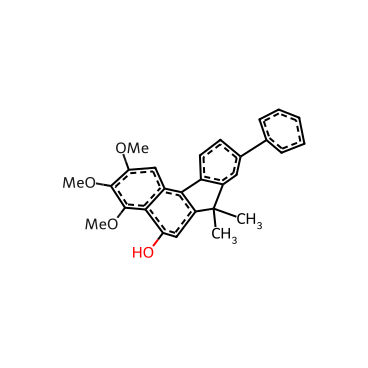 COc1cc2c3c(cc(O)c2c(OC)c1OC)C(C)(C)c1cc(-c2ccccc2)ccc1-3